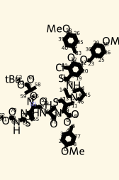 COc1ccc(COC(=O)C2=C(C[N+]3(CCNC(=S)c4ccc(OCc5ccc(OC)cc5)c(OCc5ccc(OC)cc5)c4Cl)CCCC3)CS[C@@H]3[C@H](NC(=O)/C(=N\OC(C)(C)C(=O)OC(C)(C)C)c4csc(NC(=O)OC(C)(C)C)n4)C(=O)N23)cc1